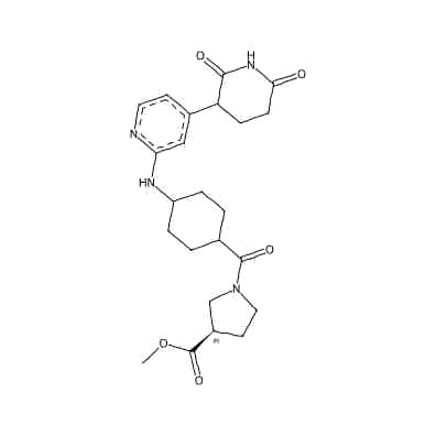 COC(=O)[C@@H]1CCN(C(=O)C2CCC(Nc3cc(C4CCC(=O)NC4=O)ccn3)CC2)C1